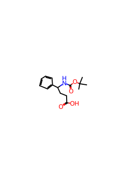 CC(C)(C)OC(=O)NC(CCC(=O)O)c1ccccc1